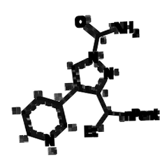 CCCCCC(CC)c1nn(C(N)=O)cc1-c1cccnc1